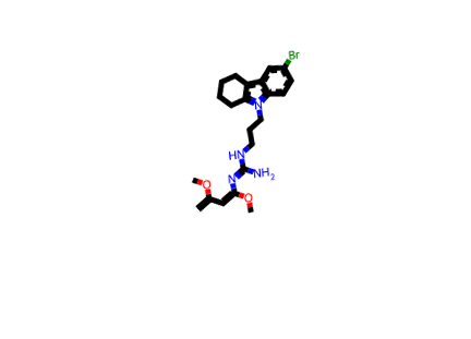 C=C(/C=C(\N=C(/N)NCCCn1c2c(c3cc(Br)ccc31)CCCC2)OC)OC